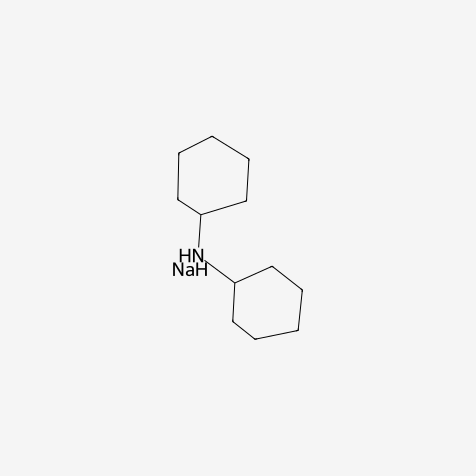 C1CCC(NC2CCCCC2)CC1.[NaH]